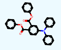 O=C(Oc1ccccc1)c1ccc(N(c2ccccc2)c2ccccc2)cc1C(=O)Oc1ccccc1